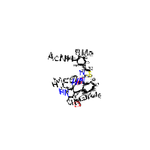 COC(=O)C1=C(C)NC(C)=C(C(=O)OC)C1c1ccccc1Nc1nc(-c2ccc(OC)c(NC(C)=O)c2)cs1